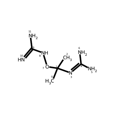 CC(C)(N=C(N)N)ONC(=N)N